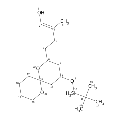 CC(=CO)CCC1CC(O[SiH2]C(C)(C)C)CC2(CCCCO2)O1